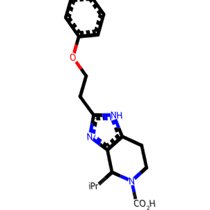 CC(C)C1c2nc(CCOc3ccccc3)[nH]c2CCN1C(=O)O